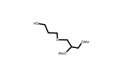 COCC(COCCCO)OC